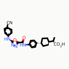 C[C@@H](C(=O)O)[C@H]1CC[C@H](c2ccc(NC(=O)c3nnc(Nc4ccc(C#N)cc4)o3)cc2)CC1